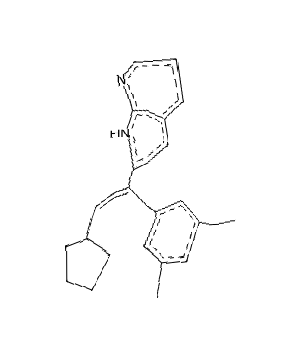 Cc1cc(C)cc(C(=CC2CCCC2)c2cc3cccnc3[nH]2)c1